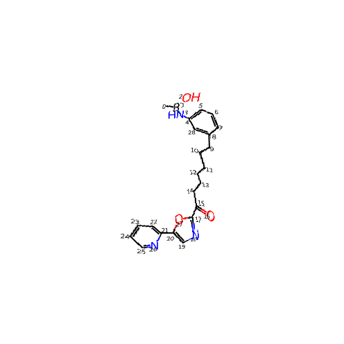 CB(O)Nc1cccc(CCCCCCC(=O)c2ncc(-c3ccccn3)o2)c1